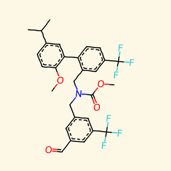 COC(=O)N(Cc1cc(C=O)cc(C(F)(F)F)c1)Cc1cc(C(F)(F)F)ccc1-c1cc(C(C)C)ccc1OC